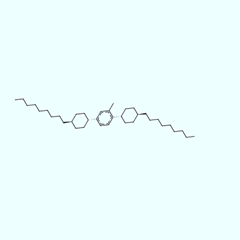 CCCCCCCCC[C@H]1CC[C@H](c2ccc([C@H]3CC[C@H](CCCCCCCCC)CC3)c(C)c2)CC1